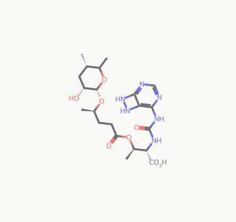 CC1O[C@H](O[C@H](C)CCC(=O)O[C@H](C)[C@H](NC(=O)Nc2ncnc3[nH][nH]c23)C(=O)O)[C@H](O)C[C@@H]1C